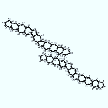 c1cc2cc3cc4cc5c(cc4cc3cc2s1)sc1cc2c(cc15)sc1cc3c(-c4c5cc6cc7sc8cc9c(cc8c7cc6cc5cc5sccc45)sc4cc5cc6cc7ccsc7cc6cc5cc49)c4cc5sccc5cc4cc3cc12